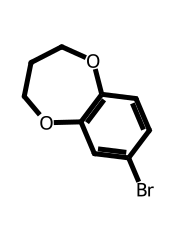 Brc1ccc2c(c1)OCCCO2